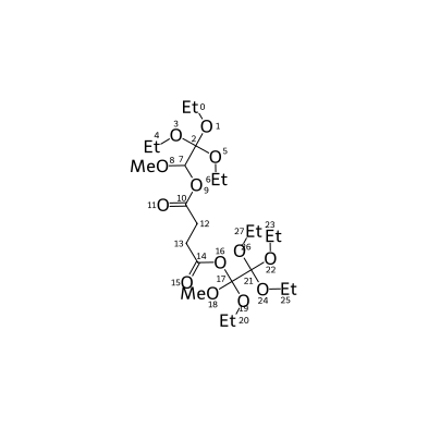 CCOC(OCC)(OCC)C(OC)OC(=O)CCC(=O)OC(OC)(OCC)C(OCC)(OCC)OCC